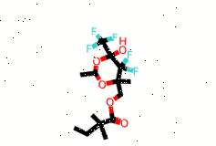 CCC(C)(C)C(=O)OCC1(C)OC(C)OC(O)(C(F)(F)F)C1(F)F